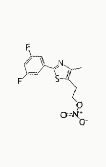 Cc1nc(-c2cc(F)cc(F)c2)sc1CCO[N+](=O)[O-]